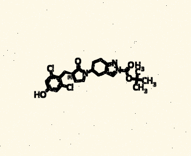 CC(C)(C)OC(=O)n1cc2c(n1)CCC(N1CC[C@@H](Cc3c(Cl)cc(O)cc3Cl)C1=O)C2